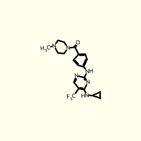 CN1CCN(C(=O)c2ccc(Nc3ncc(C(F)(F)F)c(NC4CC4)n3)cc2)CC1